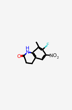 Cc1c(F)c([N+](=O)[O-])cc2c1NC(=O)CC2